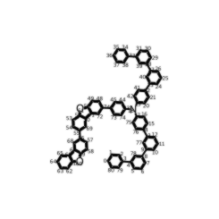 c1ccc(-c2cccc(-c3cccc(-c4ccc(N(c5ccc(-c6cccc(-c7cccc(-c8ccccc8)c7)c6)cc5)c5ccc(-c6ccc7oc8ccc(-c9ccc%10oc%11ccccc%11c%10c9)cc8c7c6)cc5)cc4)c3)c2)cc1